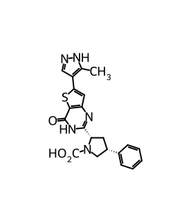 Cc1[nH]ncc1-c1cc2nc([C@@H]3C[C@H](c4ccccc4)CN3C(=O)O)[nH]c(=O)c2s1